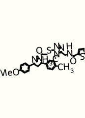 COc1ccc(C2=NN(C(=O)CSc3nnc(CNC(=O)c4cccs4)n3C)C(c3ccc(C)cc3)C2)cc1